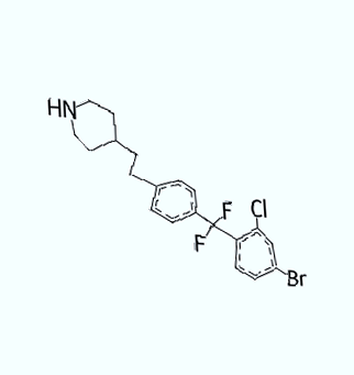 FC(F)(c1ccc(CCC2CCNCC2)cc1)c1ccc(Br)cc1Cl